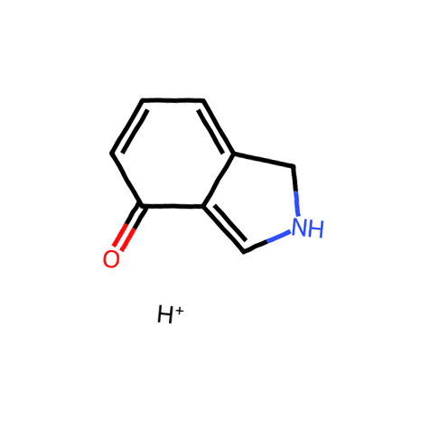 O=C1C=CC=C2CNC=C12.[H+]